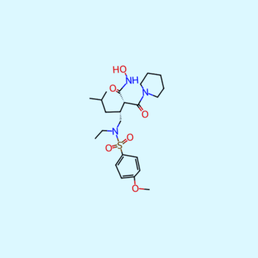 CCN(C[C@H](CC(C)C)[C@H](C(=O)NO)C(=O)N1CCCCC1)S(=O)(=O)c1ccc(OC)cc1